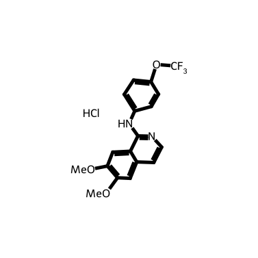 COc1cc2ccnc(Nc3ccc(OC(F)(F)F)cc3)c2cc1OC.Cl